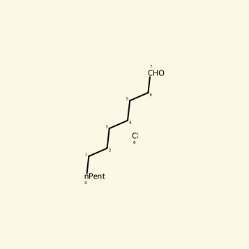 CCCCCCCCCCCC=O.[C]